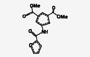 COC(=O)c1cc(NC(=O)c2ccco2)cc(C(=O)OC)c1